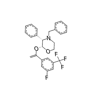 C=C(O[C@H]1OCCN(Cc2ccccc2)[C@H]1c1ccccc1)c1cc(F)cc(C(F)(F)F)c1